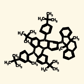 Cc1cc(C(C)(C)C)ccc1N1c2ccc(C(C)(C)C)cc2B2c3ccc(N4c5ccccc5C5(C)CCc6ccccc6C45C)cc3N(c3ccc(C(C)(C)C)cc3)c3cc(C(C)(C)C)cc1c32